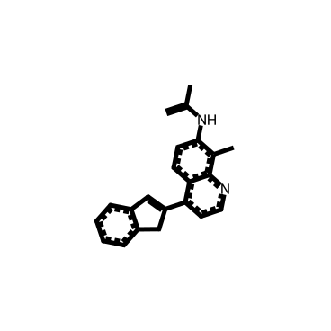 C=C(C)Nc1ccc2c(C3=Cc4ccccc4C3)ccnc2c1C